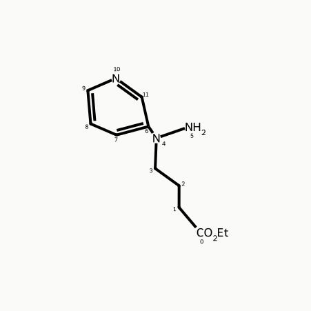 CCOC(=O)CCCN(N)c1cccnc1